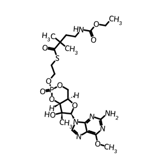 CCOC(=O)NCCC(C)(C)C(=O)SCCO[P@@]1(=O)OC[C@H]2O[C@@H](n3cnc4c(OC)nc(N)nc43)[C@](C)(O)[C@@H]2O1